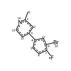 Cc1cc(-c2ccc(F)c(Br)c2)ccn1